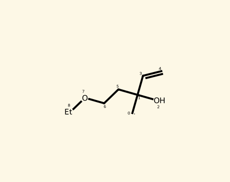 [CH2]C(O)(C=C)CCOCC